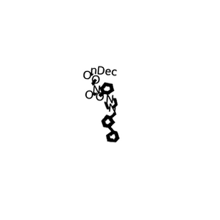 CCCCCCCCCCC(=O)OCn1c(=O)oc2c(N3CCN(Cc4cccc(-c5ccccc5)c4)CC3)cccc21